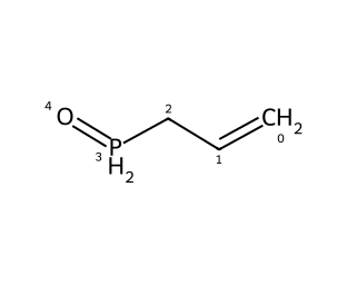 C=CC[PH2]=O